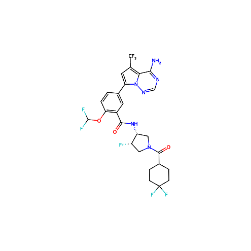 Nc1ncnn2c(-c3ccc(OC(F)F)c(C(=O)N[C@@H]4CN(C(=O)C5CCC(F)(F)CC5)C[C@@H]4F)c3)cc(C(F)(F)F)c12